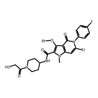 CCc1cc2c(c(OC(C)C)c(C(=O)NC3CCN(C(=O)CO)CC3)n2C)c(=O)n1-c1ccc(F)cc1